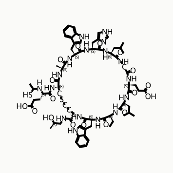 CC[C@@H]1NC(=O)[C@H](CC(C)C)NC(=O)[C@H](CCC(=O)O)NC(=O)CNC(=O)[C@H](CC(C)C)NC(=O)[C@H](Cc2c[nH]cn2)NC(=O)[C@H](Cc2c[nH]c3ccccc23)NC(=O)[C@H](C)NC(=O)[C@@H](NC(=O)[C@H](CCC(=O)O)NC(C)S)CSCC[C@@H](C(=O)NC[C@@H](C)O)NC(=O)[C@H](Cc2c[nH]c3ccccc23)NC1=O